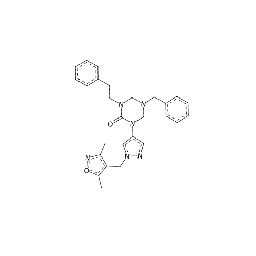 Cc1noc(C)c1Cn1cc(N2CN(Cc3ccccc3)CN(CCc3ccccc3)C2=O)cn1